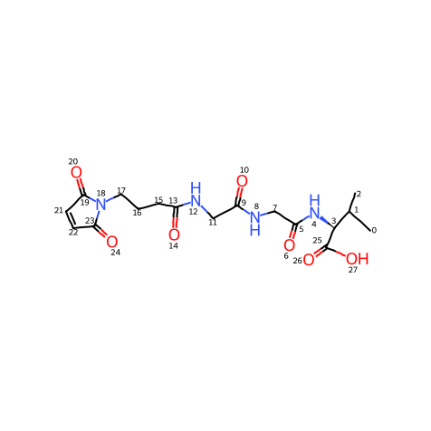 CC(C)[C@H](NC(=O)CNC(=O)CNC(=O)CCCN1C(=O)C=CC1=O)C(=O)O